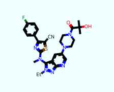 CCn1nc2ncc(N3CCN(C(=O)C(C)(C)O)CC3)cc2c1N(C)c1nc(-c2ccc(F)cc2)c(C#N)s1